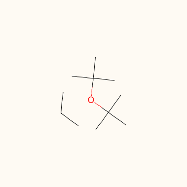 CC(C)(C)OC(C)(C)C.CCC